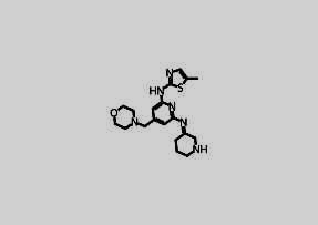 Cc1cnc(Nc2cc(CN3CCOCC3)cc(/N=C3\CCCNC3)n2)s1